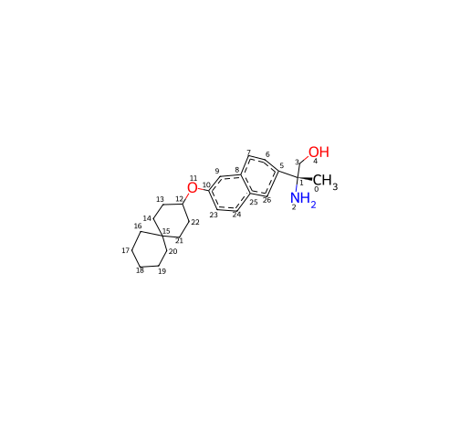 C[C@](N)(CO)c1ccc2cc(OC3CCC4(CCCCC4)CC3)ccc2c1